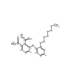 CCCCCCCCc1ccccc1Cc1cccc(C(=O)O)c1C(=O)O